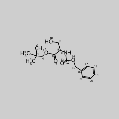 CC(C)(C)COC(=O)C(CO)NC(=O)OCc1ccccc1